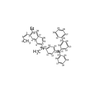 C/C=C\c1cc2cc(N(C)c3ccc(N(c4ccccc4)c4cccc(-c5ccccc5)c4)cc3)ccc2cc1CC